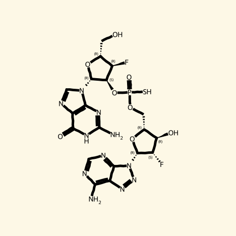 Nc1nc2c(ncn2[C@@H]2O[C@H](CO)[C@@H](F)[C@H]2OP(=O)(S)OC[C@H]2O[C@@H](n3nnc4c(N)ncnc43)[C@@H](F)[C@@H]2O)c(=O)[nH]1